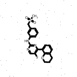 CS(=O)(=O)Cc1cccc(Nc2ncc(F)c(-c3cccc4c3OCCC4)n2)c1